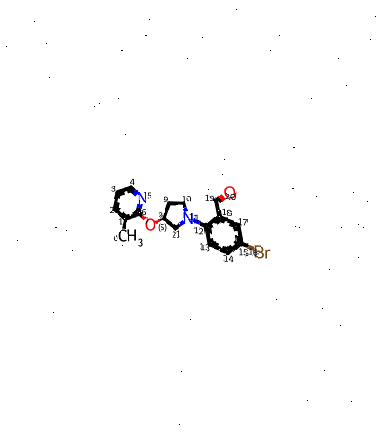 Cc1cccnc1O[C@H]1CCN(c2ccc(Br)cc2C=O)C1